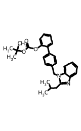 CC(C)Cc1nc2ccccc2n1Cc1ccc(-c2ccccc2OC(=O)OC(C)(C)C)cc1